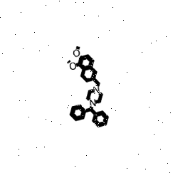 COc1ccc2c(c1OC)CCC(CN1CCN(C(c3ccccc3)c3ccccc3)CC1)=C2